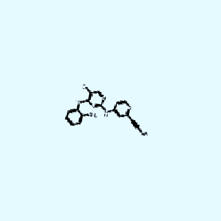 CCCC#Cc1cc(Nc2ncc(Cl)c(Nc3ccccc3N)n2)ccn1